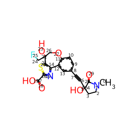 CN1CC[C@@](O)(C#Cc2ccc3c(c2)-c2nc(C(=O)O)sc2C(O)(CF)CO3)C1=O